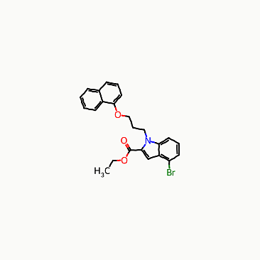 CCOC(=O)c1cc2c(Br)cccc2n1CCCOc1cccc2ccccc12